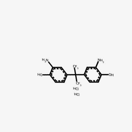 Cl.Cl.Nc1cc(C(c2ccc(O)c(N)c2)(C(F)(F)F)C(F)(F)F)ccc1O